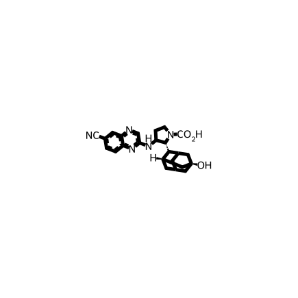 N#Cc1ccc2nc(NC3CCN(C(=O)O)[C@@H]3C3C4CC5C[C@H]3C[C@@](O)(C5)C4)cnc2c1